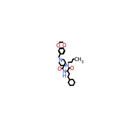 CCCCN1C(=O)C(CCC2CCCCC2)NC(=O)C12CCN(Cc1ccc3c(c1)OCCO3)CC2